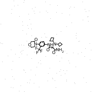 NC(=O)[C@H](C(=O)Nc1ccc(N2CCOCC2=O)c(C(F)(F)F)c1)N(C1CCC1)C1CCC1